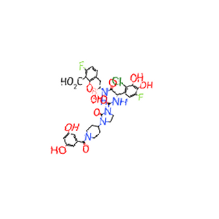 O=C(O)c1c(F)ccc2c1OB(O)[C@@H](NC(=O)[C@@H](NC(=O)N1CCN(C3CCN(C(=O)c4cc(O)cc(O)c4)CC3)C1=O)c1cc(F)c(O)c(O)c1Cl)C2